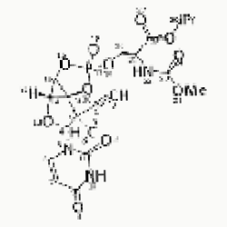 C#C[C@@]1(C)[C@H](n2ccc(=O)[nH]c2=O)O[C@@H]2C3O[P@](=O)(OC[C@H](NC(=O)OC)C(=O)OC(C)C)O[C@]321